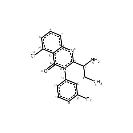 CCC(N)c1nc2cccc(Cl)c2c(=O)n1-c1cccc(F)c1